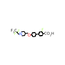 O=C(O)c1ccc(-c2ccc(OCC3CCN(CC(F)(F)C(F)(F)F)CC3)cc2)cc1F